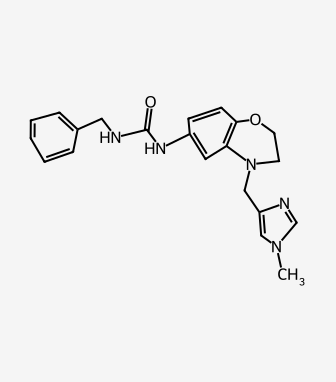 Cn1cnc(CN2CCOc3ccc(NC(=O)NCc4ccccc4)cc32)c1